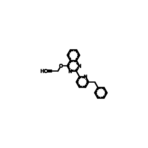 C#CCOc1nc(-c2cccc(Cc3ccccc3)n2)nc2ccccc12